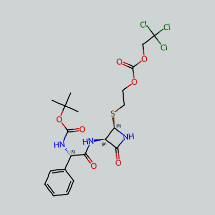 CC(C)(C)OC(=O)N[C@H](C(=O)N[C@@H]1C(=O)N[C@@H]1SCCOC(=O)OCC(Cl)(Cl)Cl)c1ccccc1